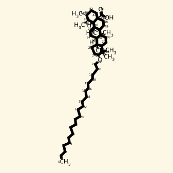 CCCCCCCCCCCCCCCCCCCCCCO[C@H]1CC[C@@]2(C)C(CC[C@]3(C)[C@@H]2CC=C2[C@@H]4[C@@H](C)[C@H](C)CC[C@]4(C(=O)O)CC[C@]23C)C1(C)C